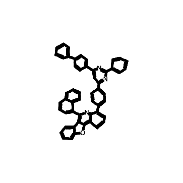 c1ccc(-c2ccc(-c3cc(-c4ccc(-c5cccc6c5nc(-c5cccc7ccccc57)c5c7ccccc7oc65)cc4)nc(-c4ccccc4)n3)cc2)cc1